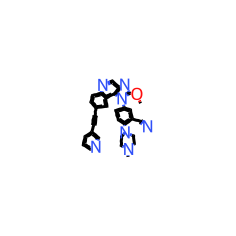 COc1nc2cnc3ccc(C#Cc4cccnc4)cc3c2n1-c1ccc(N2CCN(C)CC2)c(C#N)c1